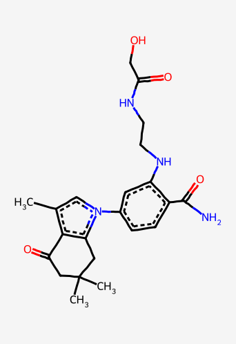 Cc1cn(-c2ccc(C(N)=O)c(NCCNC(=O)CO)c2)c2c1C(=O)CC(C)(C)C2